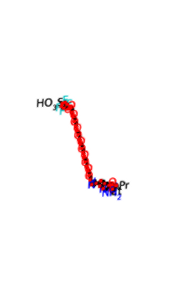 CCCN(OCC)C(=O)C1=Cc2ccc(-c3cnn(CCOCCOCCOCCOCCOCCOCCOCCOCCOCCOCCC(=O)Oc4c(F)c(F)c(S(=O)(=O)O)c(F)c4F)c3)cc2N=C(N)C1